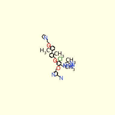 Cc1c(COc2cc(OCc3cncc(C#N)c3)c(CN(C)CC(C)c3nnn[nH]3)cc2Cl)cccc1-c1cccc(OCCCN2CCCC2)c1C